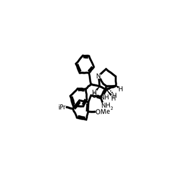 COc1ccc(C(C)C)cc1CN[C@H]1[C@H]2CCN(C[C@@H]2C(N)=O)[C@H]1C(c1ccccc1)c1ccccc1